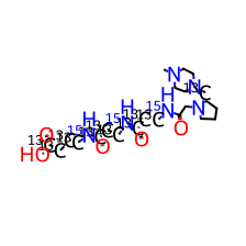 CN1CCN([13CH2]C2CCCN2CC(=O)[15NH][13CH2][13CH2][13C](=O)[15NH][13CH2][13CH2][13C](=O)[15NH][13CH2][13CH2][13CH2][13C](=O)O)CC1